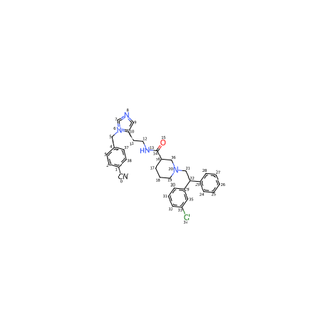 N#Cc1ccc(Cn2cncc2CCNC(=O)C2CCCN(CC(c3ccccc3)c3cccc(Cl)c3)C2)cc1